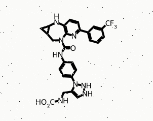 O=C(O)NCC1=CNNN1c1ccc(NC(=O)N2CC3CC3Nc3ccc(-c4cccc(C(F)(F)F)c4)nc32)cc1